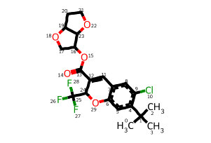 CC(C)(C)c1cc2c(cc1Cl)C=C(C(=O)OC1COC3CCOC31)C(C(F)(F)F)O2